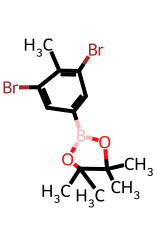 Cc1c(Br)cc(B2OC(C)(C)C(C)(C)O2)cc1Br